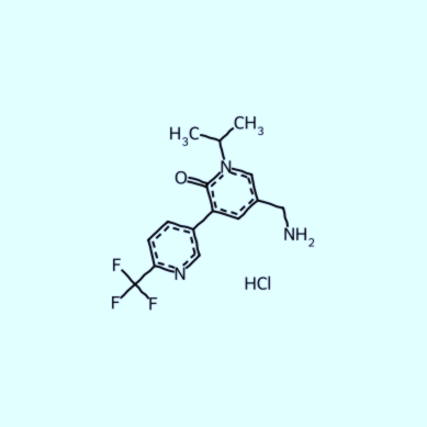 CC(C)n1cc(CN)cc(-c2ccc(C(F)(F)F)nc2)c1=O.Cl